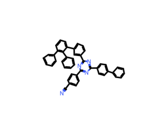 N#Cc1ccc(-c2nc(-c3ccc(-c4ccccc4)cc3)nc(-c3cccc(-c4cccc(-c5ccccc5)c4-c4ccccc4)c3)n2)cc1